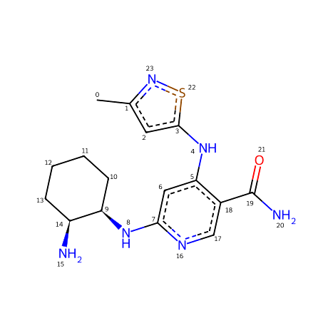 Cc1cc(Nc2cc(N[C@@H]3CCCC[C@@H]3N)ncc2C(N)=O)sn1